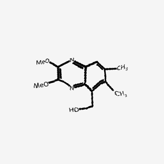 COc1nc2cc(C)c(C)c(CO)c2nc1OC